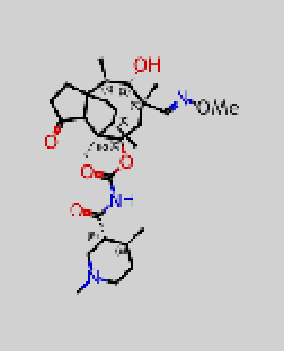 CON=C[C@]1(C)C[C@@H](OC(=O)NC(=O)[C@H]2CN(C)CC[C@@H]2C)[C@@]2(C)C3C(=O)CCC3(CC[C@H]2C)[C@@H](C)[C@@H]1O